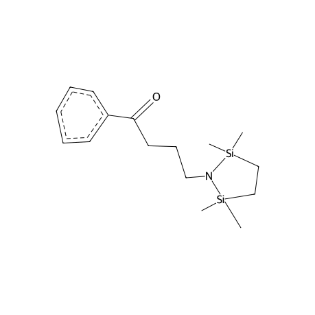 C[Si]1(C)CC[Si](C)(C)N1CCCC(=O)c1ccccc1